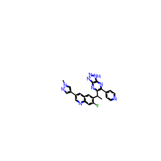 CC(c1cc2cc(-c3cnn(C)c3)cnc2cc1F)c1nc2nn[nH]c2nc1-c1ccncc1